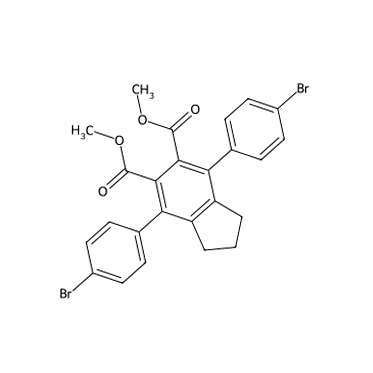 COC(=O)c1c(C(=O)OC)c(-c2ccc(Br)cc2)c2c(c1-c1ccc(Br)cc1)CCC2